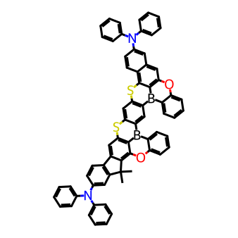 CC1(C)c2cc(N(c3ccccc3)c3ccccc3)ccc2-c2cc3c4c(c21)Oc1ccccc1B4c1cc2c(cc1S3)Sc1c3c(cc4cc(N(c5ccccc5)c5ccccc5)ccc14)Oc1ccccc1B23